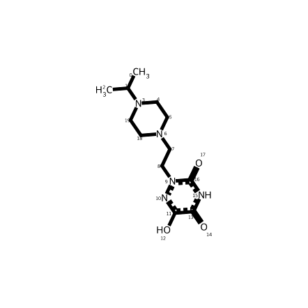 CC(C)N1CCN(CCn2nc(O)c(=O)[nH]c2=O)CC1